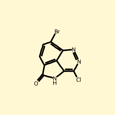 O=C1Nc2c(Cl)nnc3c(Br)ccc1c23